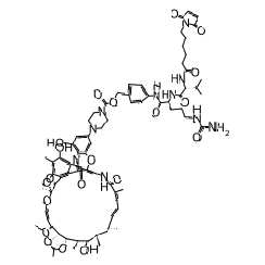 CO[C@H]1/C=C/O[C@@]2(C)Oc3c(C)c(O)c4c(=O)c(c5oc6cc(N7CCN(C(=O)OCc8ccc(NC(=O)[C@H](CCCNC(N)=O)NC(=O)C(NC(=O)CCCCCN9C(=O)C=CC9=O)C(C)C)cc8)CC7)cc(O)c6nc-5c4c3C2=O)NC(=O)/C(C)=C\C=C\[C@H](C)C[C@@H](C)[C@@H](O)[C@@H](C)[C@H](OC(C)=O)[C@@H]1C